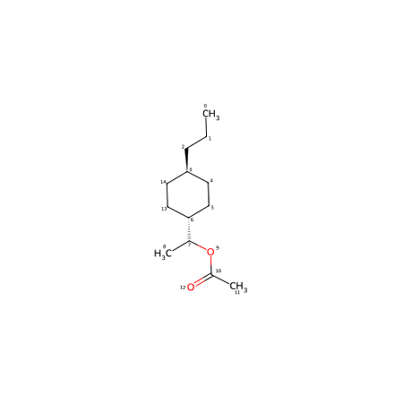 CCC[C@H]1CC[C@H](C(C)OC(C)=O)CC1